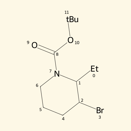 CCC1C(Br)CCCN1C(=O)OC(C)(C)C